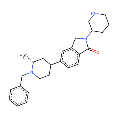 C[C@@H]1CC(c2ccc3c(c2)CN(C2CCCNC2)C3=O)CCN1Cc1ccccc1